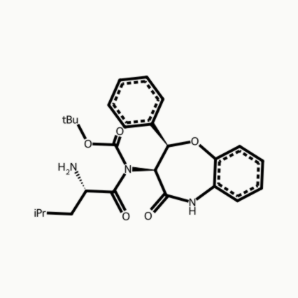 CC(C)C[C@H](N)C(=O)N(C(=O)OC(C)(C)C)[C@@H]1C(=O)Nc2ccccc2O[C@@H]1c1ccccc1